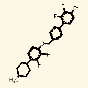 CCc1ccc(-c2ccc(COc3ccc(C4CCC(C)CC4)c(F)c3F)cc2)c(F)c1F